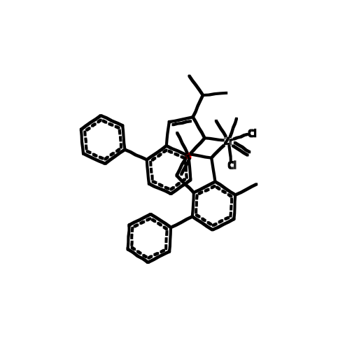 [CH2]=[Zr]([CH3])([CH3])([Cl])([Cl])([CH]1C(C(C)C)=Cc2c(-c3ccccc3)cccc21)[CH]1C(C)=Cc2c(-c3ccccc3)ccc(C)c21